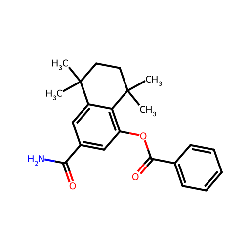 CC1(C)CCC(C)(C)c2c(OC(=O)c3ccccc3)cc(C(N)=O)cc21